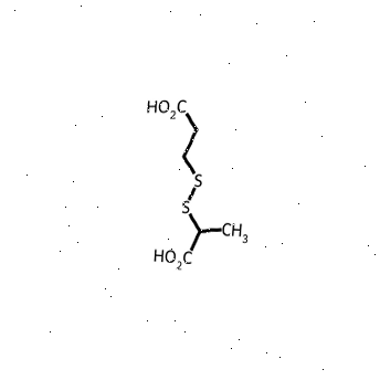 CC(SSCCC(=O)O)C(=O)O